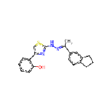 CC(=NNc1nc(-c2ccccc2O)cs1)c1ccc2c(c1)CCC2